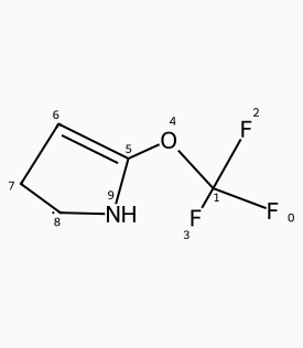 FC(F)(F)OC1=CC[CH]N1